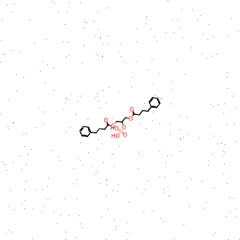 O=C(CCCc1ccccc1)OCC(COC(=O)CCCc1ccccc1)OP(=O)(O)O